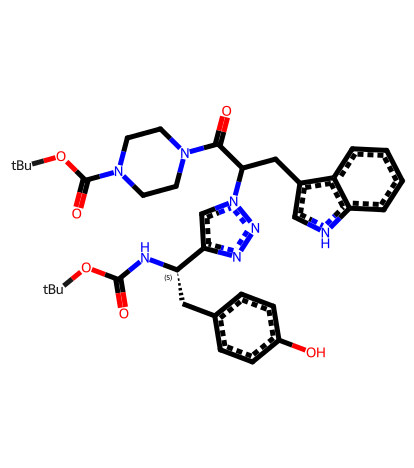 CC(C)(C)OC(=O)N[C@@H](Cc1ccc(O)cc1)c1cn(C(Cc2c[nH]c3ccccc23)C(=O)N2CCN(C(=O)OC(C)(C)C)CC2)nn1